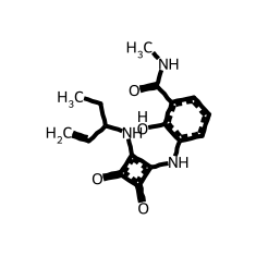 C=CC(CC)Nc1c(Nc2cccc(C(=O)NC)c2O)c(=O)c1=O